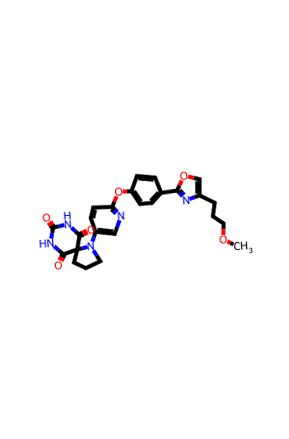 COCCCc1coc(-c2ccc(Oc3ccc(N4CCCC45C(=O)NC(=O)NC5=O)cn3)cc2)n1